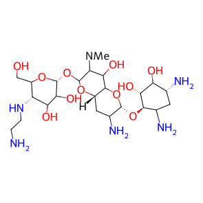 CNC1C(O[C@H]2OC(CO)[C@@H](NCCN)C(O)C2O)O[C@H]2CC(N)[C@@H](O[C@@H]3C(N)C[C@@H](N)C(O)[C@H]3O)OC2C1O